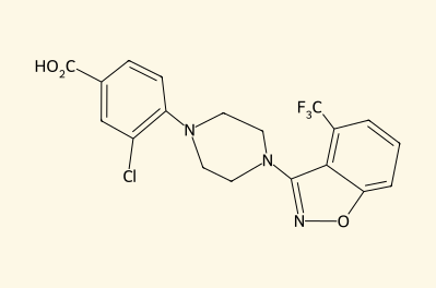 O=C(O)c1ccc(N2CCN(c3noc4cccc(C(F)(F)F)c34)CC2)c(Cl)c1